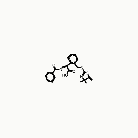 C=C1SC(SCc2ccccc2C(=COC(=O)c2ccccc2)C(=O)O)=NC1(C)C